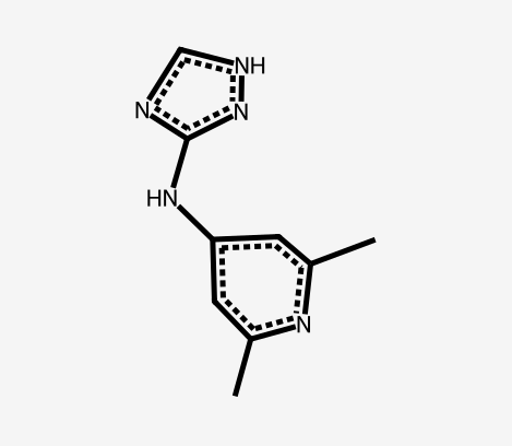 Cc1cc(Nc2nc[nH]n2)cc(C)n1